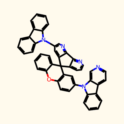 c1ccc2c(c1)Oc1ccc(-n3c4ccccc4c4ccncc43)cc1C21c2cccnc2-c2ncc(-n3c4ccccc4c4ccccc43)cc21